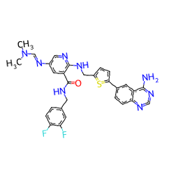 CN(C)C=Nc1cnc(NCc2ccc(-c3ccc4ncnc(N)c4c3)s2)c(C(=O)NCc2ccc(F)c(F)c2)c1